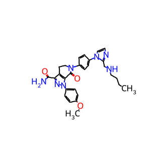 CCCCNCc1nccn1-c1ccc(N2CCc3c(C(N)=O)nn(-c4ccc(OC)cc4)c3C2=O)cc1